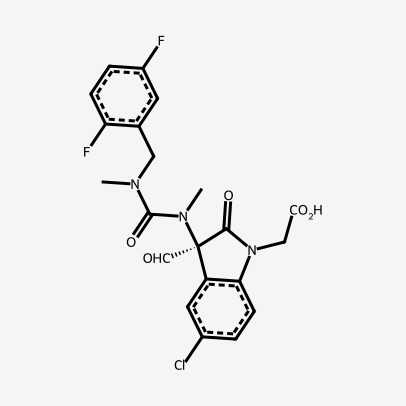 CN(Cc1cc(F)ccc1F)C(=O)N(C)[C@@]1(C=O)C(=O)N(CC(=O)O)c2ccc(Cl)cc21